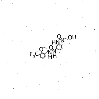 O=C(Nc1ccc2c(c1)NC(=O)N(CCO)C2)N[C@@H]1CCOc2c1cccc2C(F)(F)F